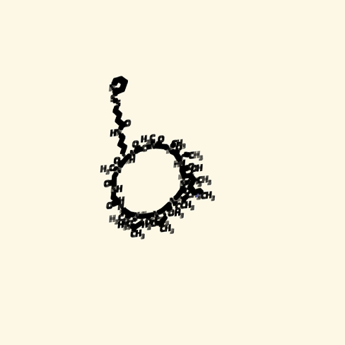 C/C=C/C[C@@H](C)[C@@H](O)[C@H]1C(=O)N[C@@H](CC)C(=O)N(C)CC(=O)N(C)CC(=O)N[C@@H](CCCCNC(=O)CCCSSc2ccccn2)C(=O)N(C)CC(=O)NCC(=O)N[C@H](C)C(=O)N(C)[C@@H](CC(C)C)C(O)N(C)[C@@H](CC(C)C)C(=O)N(C)[C@@H](C(C)C)C(=O)N1C